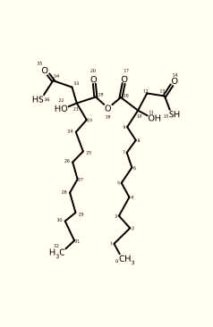 CCCCCCCCCCC(O)(CC(=O)S)C(=O)OC(=O)C(O)(CCCCCCCCCC)CC(=O)S